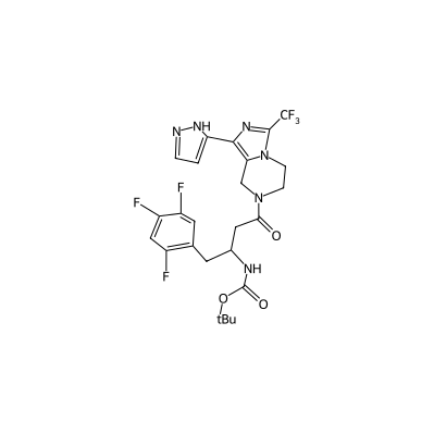 CC(C)(C)OC(=O)NC(CC(=O)N1CCn2c(C(F)(F)F)nc(-c3ccn[nH]3)c2C1)Cc1cc(F)c(F)cc1F